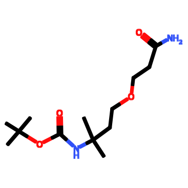 CC(C)(CCOCCC(N)=O)NC(=O)OC(C)(C)C